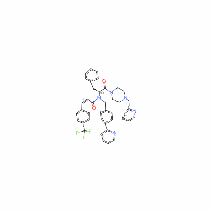 O=C([C@H](Cc1ccccc1)N(Cc1ccc(-c2ccccn2)cc1)C(=O)/C=C\c1ccc(C(F)(F)F)cc1)N1CCN(Cc2ccccn2)CC1